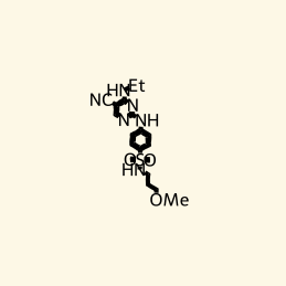 CCNc1nc(Nc2ccc(S(=O)(=O)NCCCOC)cc2)ncc1C#N